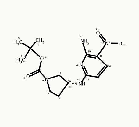 CC(C)(C)OC(=O)N1CC[C@@H](Nc2ccc([N+](=O)[O-])c(N)n2)C1